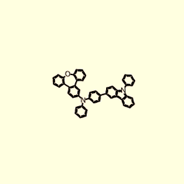 c1ccc(N(c2ccc(-c3ccc4c(c3)c3ccccc3n4-c3ccccc3)cc2)c2ccc3c(c2)-c2ccccc2Oc2ccccc2-3)cc1